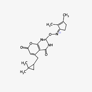 CC1=C(C)/C(=N\Oc2nc3oc(=O)cc(CC4CC4(C)C)c3c(=O)[nH]2)CC1